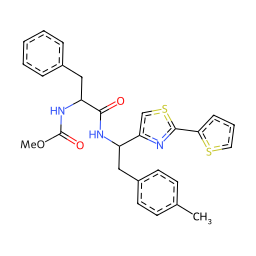 COC(=O)NC(Cc1ccccc1)C(=O)NC(Cc1ccc(C)cc1)c1csc(-c2cccs2)n1